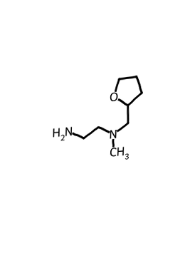 CN(CCN)CC1CCCO1